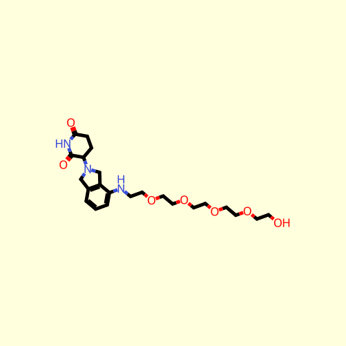 O=C1CCC(N2Cc3cccc(NCCOCCOCCOCCOCCO)c3C2)C(=O)N1